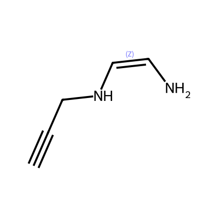 C#CCN/C=C\N